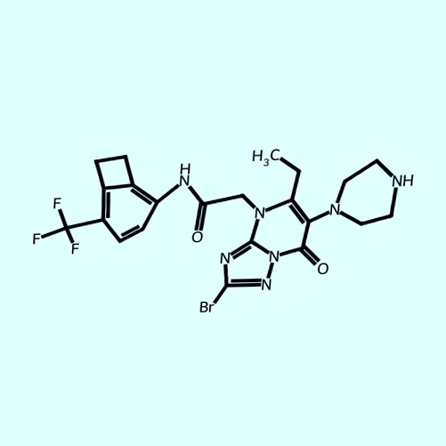 CCc1c(N2CCNCC2)c(=O)n2nc(Br)nc2n1CC(=O)Nc1ccc(C(F)(F)F)c2c1CC2